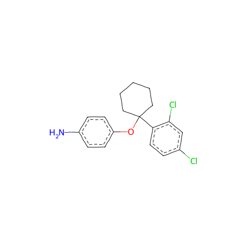 Nc1ccc(OC2(c3ccc(Cl)cc3Cl)CCCCC2)cc1